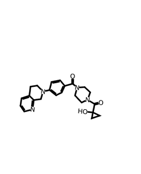 O=C(c1ccc(N2CCc3cccnc3C2)cc1)N1CCN(C(=O)C2(O)CC2)CC1